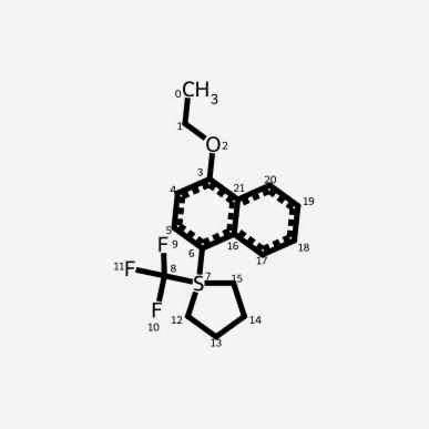 CCOc1ccc(S2(C(F)(F)F)CCCC2)c2ccccc12